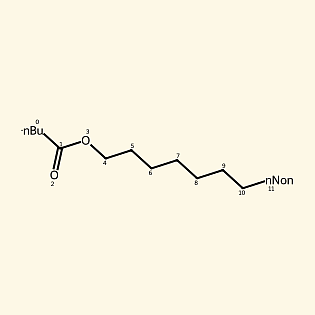 CCC[CH]C(=O)OCCCCCCCCCCCCCCCC